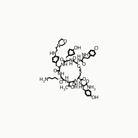 C[C@@H](O)[C@@H]1NC(=O)[C@H](CCCCN)NC(=O)[C@@H](Cc2ccc(NCCN3CCOCC3)cc2)NC(=O)[C@H](Cc2ccc(O)cc2)NC(=O)[C@H](NC(=O)[C@@H](N)Cc2ccc(Cl)cc2)CSSC[C@@H](C(=O)N[C@H](Cc2ccc(O)cc2)C(N)=O)NC1=O